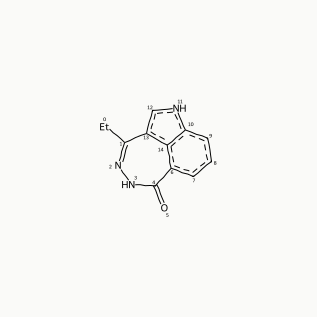 CCC1=NNC(=O)c2cccc3[nH]cc1c23